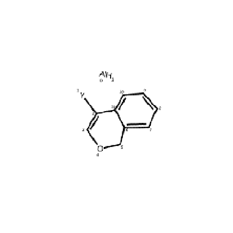 [AlH3].[Y][C]1=COCc2ccccc21